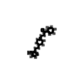 O=C(CCN1CCC(CCc2ncc[nH]2)CC1)c1ccccc1